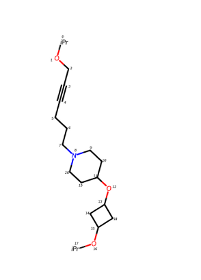 CC(C)OCC#CCCCN1CCC(OC2CC(OC(C)C)C2)CC1